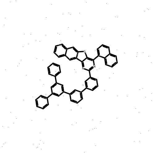 c1ccc(-c2cc(-c3ccccc3)cc(-c3cccc(-c4cccc(-c5nc(-c6cccc7ccccc67)c6sc7cc8ccccc8cc7c6n5)c4)c3)c2)cc1